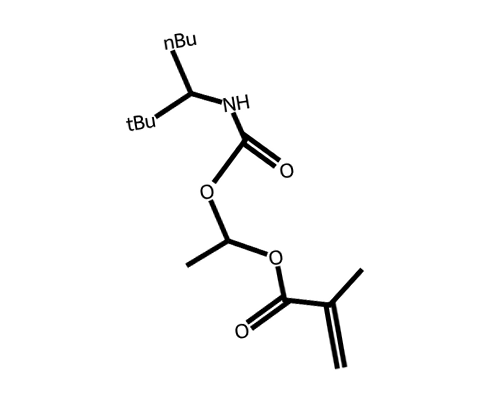 C=C(C)C(=O)OC(C)OC(=O)NC(CCCC)C(C)(C)C